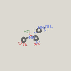 COc1ccc(CNC(=O)c2cc([N+](=O)[O-])ccc2NC2CCC(NC(=N)N)CC2)cc1OC.Cl